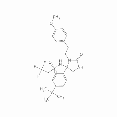 COc1ccc(CCN2C(=O)NCC2(NS(=O)(=O)CC(F)(F)F)c2ccc(C(C)(C)C)cc2)cc1